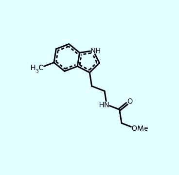 COCC(=O)NCCc1c[nH]c2ccc(C)cc12